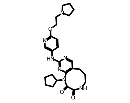 O=C1NCCCc2cnc(Nc3ccc(OCCN4CCCC4)nc3)nc2N(C2CCCC2)C1=O